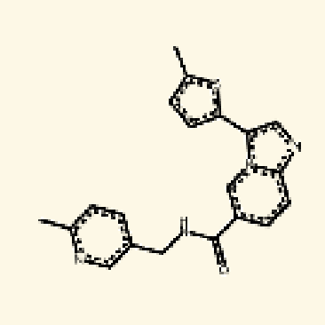 Cc1ccc(CNC(=O)c2ccc3ncc(-c4ccc(C)s4)n3c2)cn1